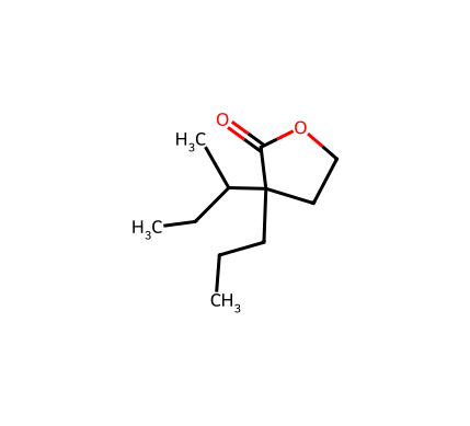 CCCC1(C(C)CC)CCOC1=O